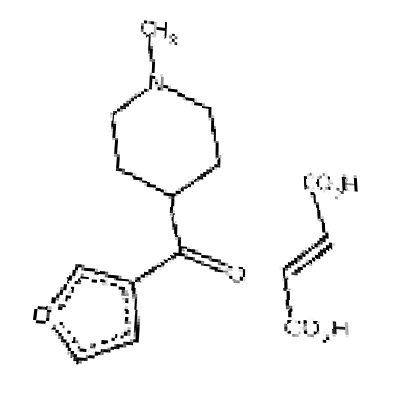 CN1CCC(C(=O)c2ccoc2)CC1.O=C(O)C=CC(=O)O